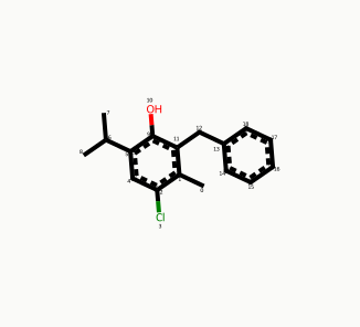 Cc1c(Cl)cc(C(C)C)c(O)c1Cc1ccccc1